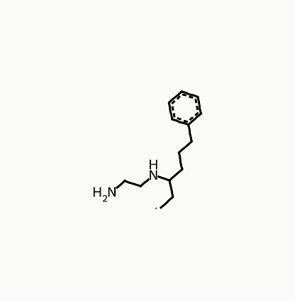 [CH2]CC(CCCc1ccccc1)NCCN